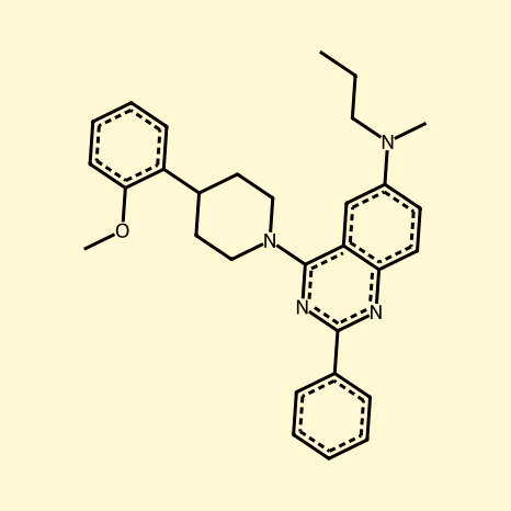 CCCN(C)c1ccc2nc(-c3ccccc3)nc(N3CCC(c4ccccc4OC)CC3)c2c1